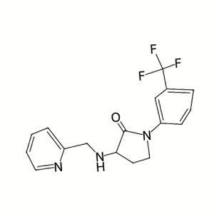 O=C1C(NCc2ccccn2)CCN1c1cccc(C(F)(F)F)c1